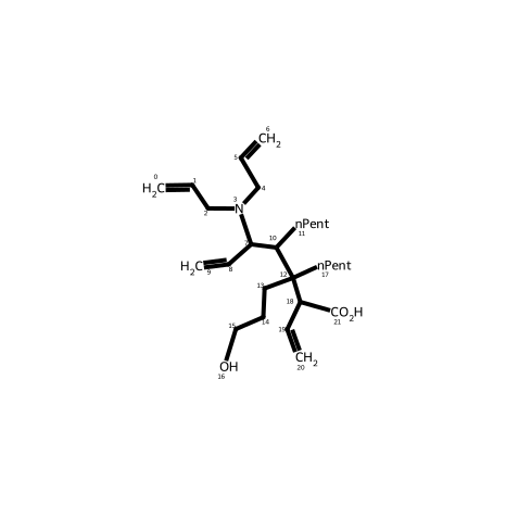 C=CCN(CC=C)C(C=C)[C](CCCCC)C(CCCO)(CCCCC)C(C=C)C(=O)O